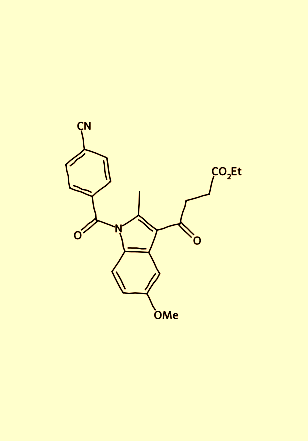 CCOC(=O)CCC(=O)c1c(C)n(C(=O)c2ccc(C#N)cc2)c2ccc(OC)cc12